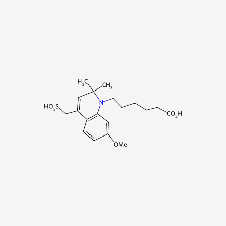 COc1ccc2c(c1)N(CCCCCC(=O)O)C(C)(C)C=C2CS(=O)(=O)O